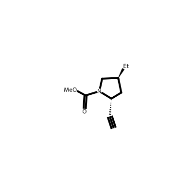 C#C[C@H]1C[C@H](CC)CN1C(=O)OC